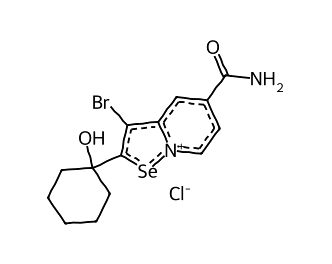 NC(=O)c1cc[n+]2[se]c(C3(O)CCCCC3)c(Br)c2c1.[Cl-]